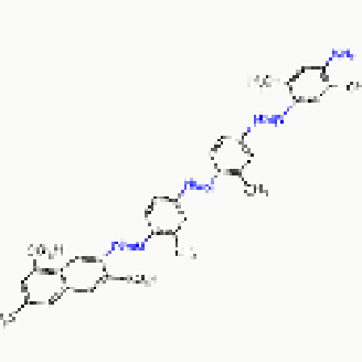 Cc1cc(N=Nc2ccc(N=Nc3ccc(N=Nc4cc5c(S(=O)(=O)O)cc(S(=O)(=O)O)cc5cc4S(=O)(=O)O)c(C)c3)c(C)c2)c(C)cc1N